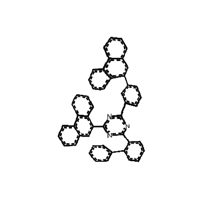 c1ccc(-c2ccccc2-c2nc(-c3cccc(-c4cc5ccccc5c5ccccc45)c3)nc(-c3cc4ccccc4c4ccccc34)n2)cc1